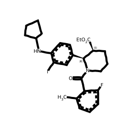 CCOC(=O)[C@H]1CCCN(C(=O)c2c(C)cccc2F)[C@H]1c1ccc(NC2CCCC2)c(I)c1